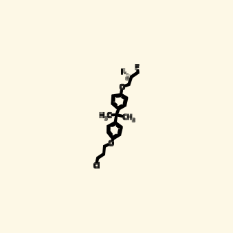 CC(C)(c1ccc(OCCCCl)cc1)c1ccc(OC[C@H](F)CF)cc1